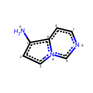 Nc1ccn2cnccc12